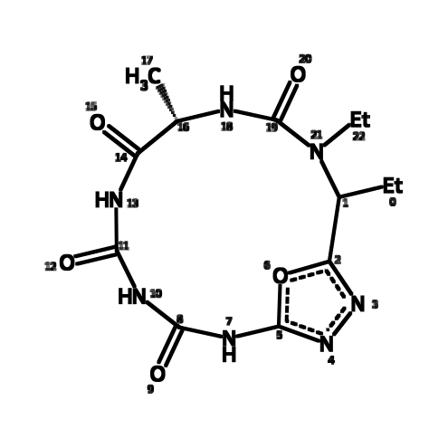 CCC1c2nnc(o2)NC(=O)NC(=O)NC(=O)[C@H](C)NC(=O)N1CC